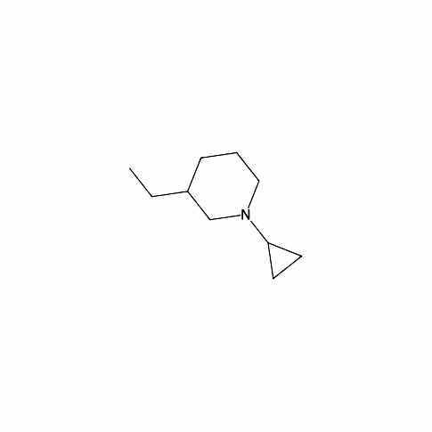 CCC1CCCN(C2CC2)C1